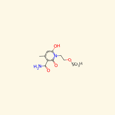 Cc1cc(O)n(CCOS(=O)(=O)O)c(=O)c1C(N)=O